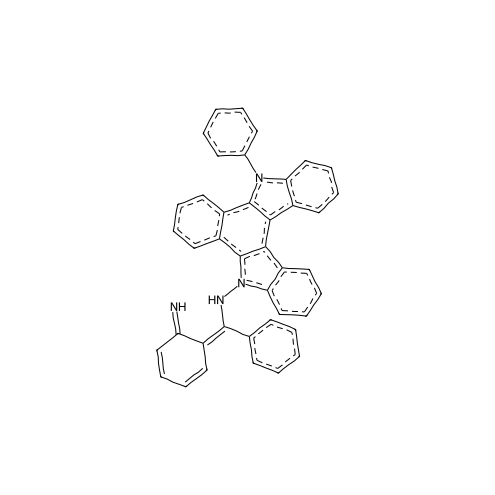 N=C1C=CC=C/C1=C(/Nn1c2ccccc2c2c3c4ccccc4n(-c4ccccc4)c3c3ccccc3c21)c1ccccc1